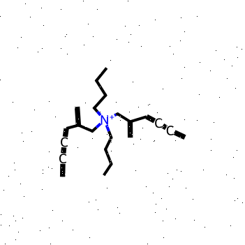 C=C=C=CC(=C)C[N+](CCCC)(CCCC)CC(=C)C=C=C=C